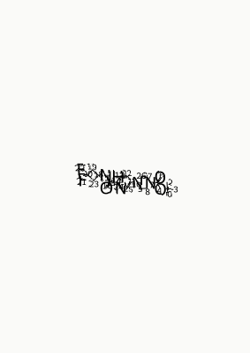 CC(C)(C)OC(=O)N1CCN(c2ccc(C(=O)NC3CC(F)(F)C3)nc2)CC1